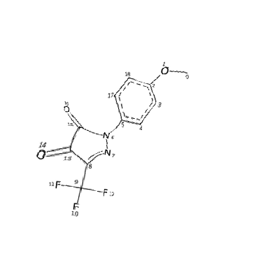 COc1ccc(N2N=C(C(F)(F)F)C(=O)C2=O)cc1